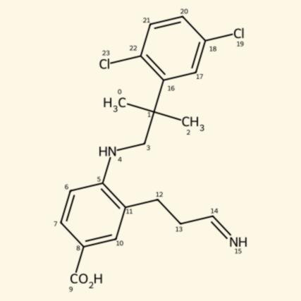 CC(C)(CNc1ccc(C(=O)O)cc1CCC=N)c1cc(Cl)ccc1Cl